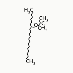 CCCCCCCCCCCCCCC(CCCCCCC)COC(=O)C(C)CC